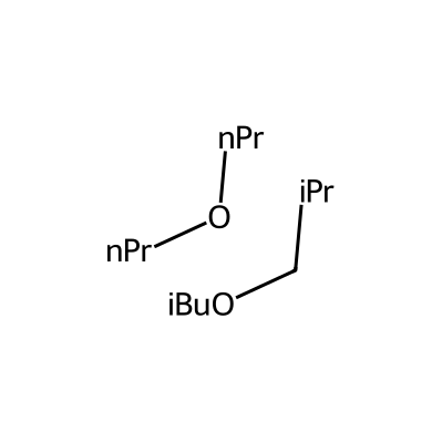 CC(C)COCC(C)C.CCCOCCC